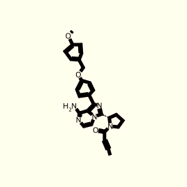 CC#CC(=O)N1CCC[C@H]1c1nc(-c2ccc(OCc3ccc(OC)cc3)cc2)c2c(N)nccn12